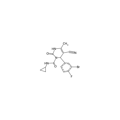 CC1=C(C#N)C(c2ccc(F)c(Br)c2)N(C(=O)NC2CC2)C(=O)N1